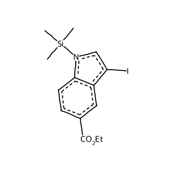 CCOC(=O)c1ccc2c(c1)c(I)cn2[Si](C)(C)C